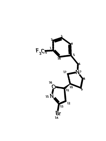 FC(F)(F)c1cccc(CN2CC[C@@H](C3CC(Br)=NO3)C2)c1